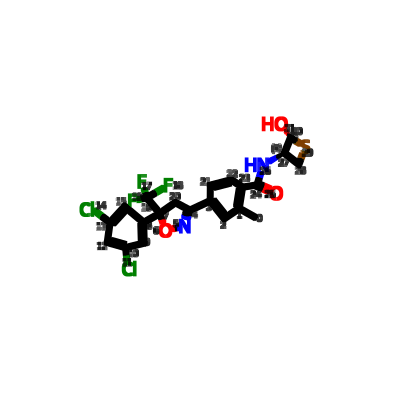 Cc1cc(C2=NOC(c3cc(Cl)cc(Cl)c3)(C(F)(F)F)C2)ccc1C(=O)N[C@@H]1CS[C@H]1O